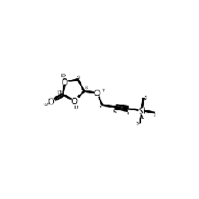 C[Si](C)(C)C#CCOC1COC(=O)O1